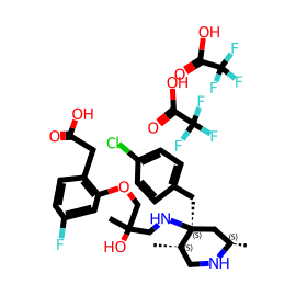 C[C@H]1C[C@](Cc2ccc(Cl)cc2)(NCC(C)(O)COc2cc(F)ccc2CC(=O)O)[C@@H](C)CN1.O=C(O)C(F)(F)F.O=C(O)C(F)(F)F